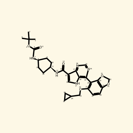 CC(C)(C)OC(=O)N[C@H]1CC[C@@H](NC(=O)c2c[nH]c3c(-c4c(OCC5CC5)ccc5c4OCO5)ncnc23)CC1